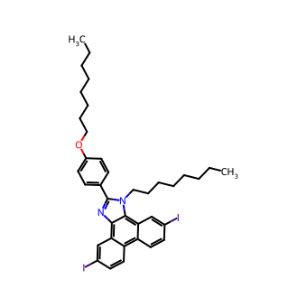 CCCCCCCCOc1ccc(-c2nc3c4cc(I)ccc4c4ccc(I)cc4c3n2CCCCCCCC)cc1